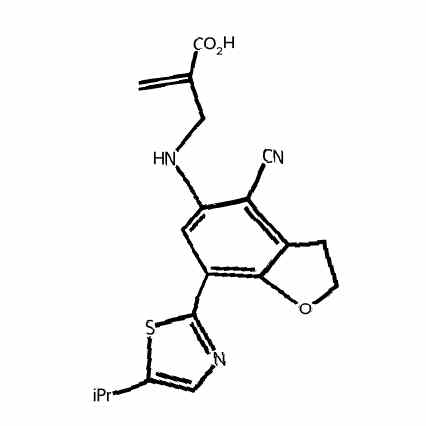 C=C(CNc1cc(-c2ncc(C(C)C)s2)c2c(c1C#N)CCO2)C(=O)O